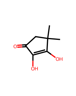 CC1(C)CC(=O)C(O)=C1O